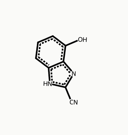 N#Cc1nc2c(O)cccc2[nH]1